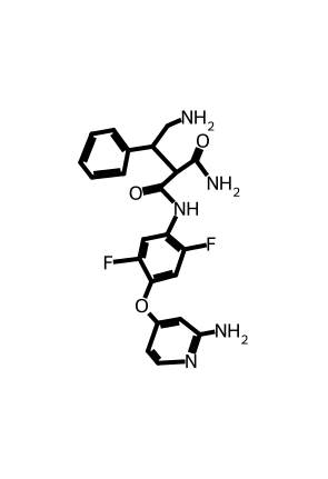 NCC(c1ccccc1)C(C(N)=O)C(=O)Nc1cc(F)c(Oc2ccnc(N)c2)cc1F